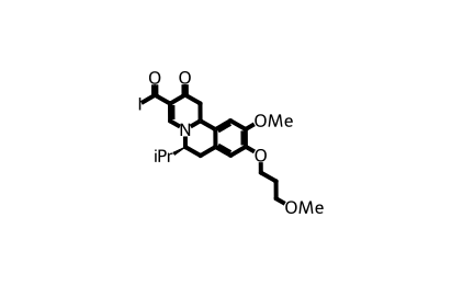 COCCCOc1cc2c(cc1OC)C1CC(=O)C(C(=O)I)=CN1[C@H](C(C)C)C2